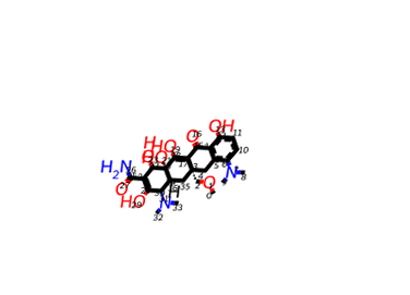 COC[C@@]12Cc3c(N(C)C)ccc(O)c3C(=O)C1=C(O)[C@]1(O)C(O)C(C(N)=O)=C(O)[C@@H](N(C)C)[C@@H]1C2